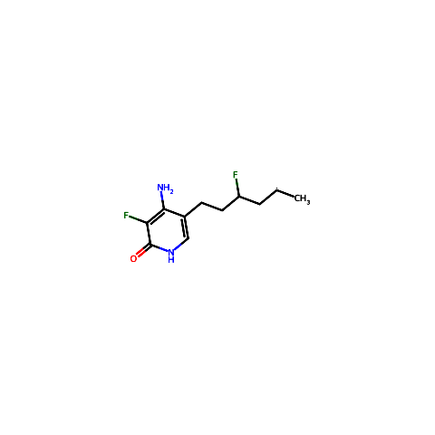 C[CH]CC(F)CCc1c[nH]c(=O)c(F)c1N